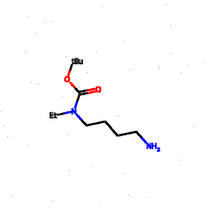 CCN(CCCCN)C(=O)OC(C)(C)C